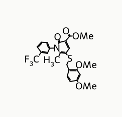 COC(=O)c1cc(SCc2ccc(OC)cc2OC)c(C)n(-c2cccc(C(F)(F)F)c2)c1=O